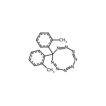 Cc1ccccc1C1(c2ccccc2C)N=NN=NN=NN=N1